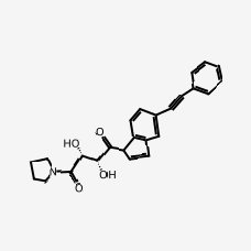 O=C(C1C=Cc2cc(C#Cc3ccccc3)ccc21)[C@H](O)[C@@H](O)C(=O)N1CCCC1